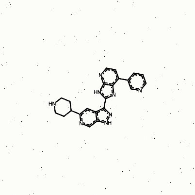 c1cncc(-c2ccnc3[nH]c(-c4n[nH]c5cnc(C6CCNCC6)cc45)nc23)c1